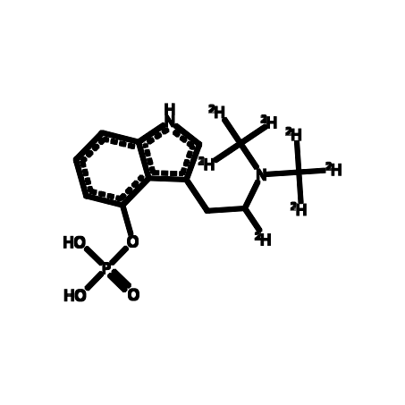 [2H]C(Cc1c[nH]c2cccc(OP(=O)(O)O)c12)N(C([2H])([2H])[2H])C([2H])([2H])[2H]